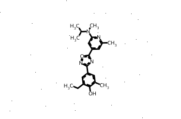 CCc1cc(-c2noc(-c3cc(C)nc(N(C)C(C)C)c3)n2)cc(C)c1O